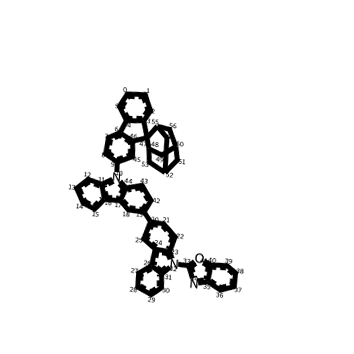 c1ccc2c(c1)-c1ccc(-n3c4ccccc4c4cc(-c5ccc6c(c5)c5ccccc5n6-c5nc6ccccc6o5)ccc43)cc1C21C2CC3CC(C2)CC1C3